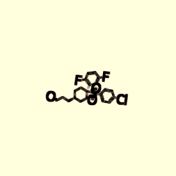 O=CCC[C@H]1CC[C@@](c2cc(F)ccc2F)(S(=O)(=O)c2ccc(Cl)cc2)CC1